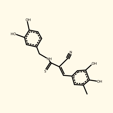 Cc1cc(/C=C(\C#N)C(=S)NCc2ccc(O)c(O)c2)cc(O)c1O